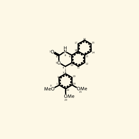 COc1cc([C@@H]2OC(=O)Nc3c2ccc2ccccc32)cc(OC)c1OC